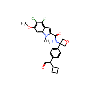 COc1cc2c(cc(C(=O)NC3(c4ccc(C(C=O)C5CCC5)cc4)COC3)n2C)c(Cl)c1Cl